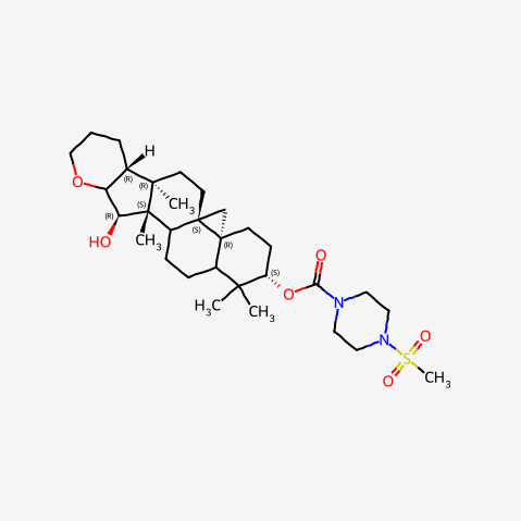 CC1(C)C2CCC3[C@]4(CC[C@]5(C)[C@H]6CCCOC6[C@H](O)[C@@]35C)C[C@]24CC[C@@H]1OC(=O)N1CCN(S(C)(=O)=O)CC1